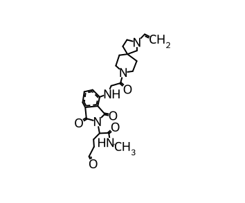 C=CN1CCC2(CCN(C(=O)CNc3cccc4c3C(=O)N(C(CCC=O)C(=O)NC)C4=O)CC2)C1